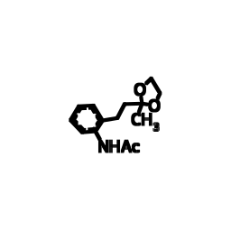 CC(=O)Nc1ccccc1CCC1(C)OCCO1